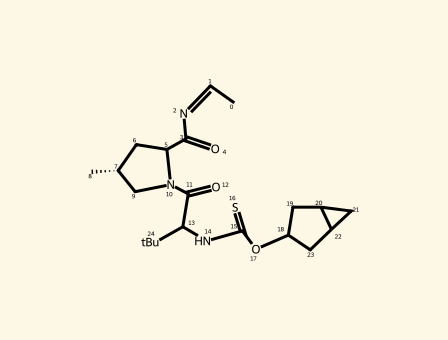 C/C=N\C(=O)C1C[C@@H](C)CN1C(=O)C(NC(=S)OC1CC2CC2C1)C(C)(C)C